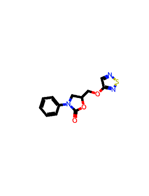 O=C1OC(COc2cnsn2)CN1c1ccccc1